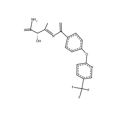 C=C(/N=C(\C)[C@H](O)C(=C)N)c1ccc(Oc2ccc(C(F)(F)F)cn2)cc1